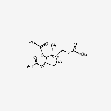 CC(C)(C)C(=O)OC[C@H]1NC[C@@H](OC(=O)C(C)(C)C)[C@@H](OC(=O)C(C)(C)C)[C@H]1O